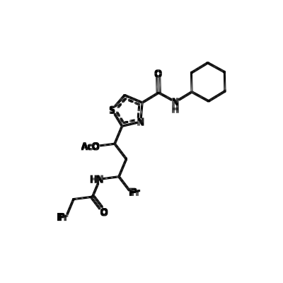 CC(=O)OC(CC(NC(=O)CC(C)C)C(C)C)c1nc(C(=O)NC2CCCCC2)cs1